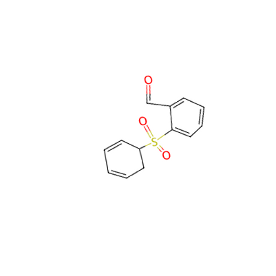 O=Cc1ccccc1S(=O)(=O)C1C=CC=CC1